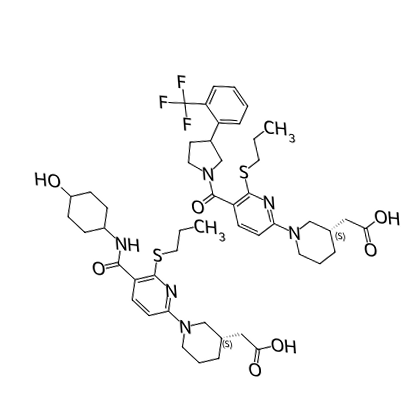 CCCSc1nc(N2CCC[C@@H](CC(=O)O)C2)ccc1C(=O)N1CCC(c2ccccc2C(F)(F)F)C1.CCCSc1nc(N2CCC[C@@H](CC(=O)O)C2)ccc1C(=O)NC1CCC(O)CC1